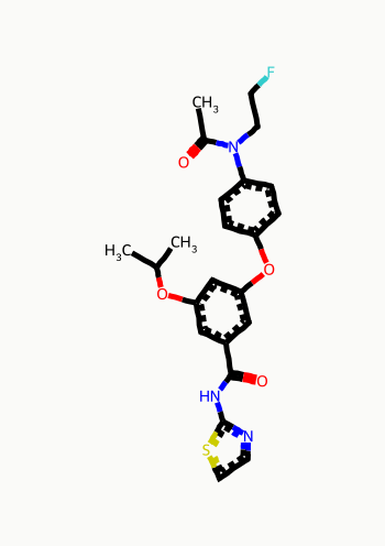 CC(=O)N(CCF)c1ccc(Oc2cc(OC(C)C)cc(C(=O)Nc3nccs3)c2)cc1